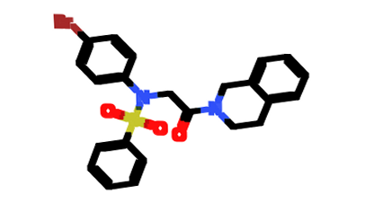 O=C(CN(c1ccc(Br)cc1)S(=O)(=O)c1ccccc1)N1CCc2ccccc2C1